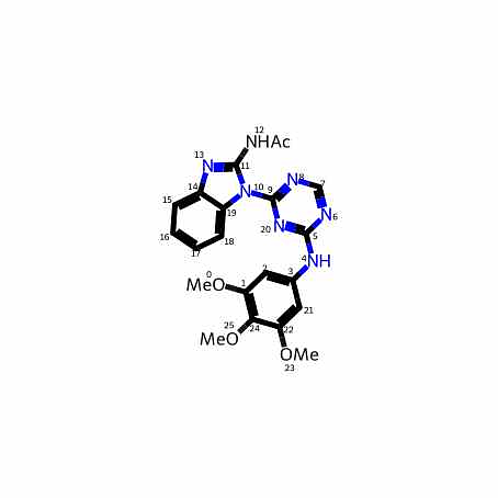 COc1cc(Nc2ncnc(-n3c(NC(C)=O)nc4ccccc43)n2)cc(OC)c1OC